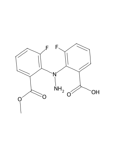 COC(=O)c1cccc(F)c1N(N)c1c(F)cccc1C(=O)O